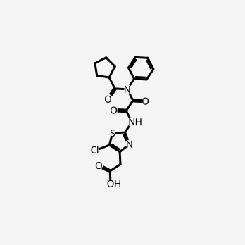 O=C(O)Cc1nc(NC(=O)C(=O)N(C(=O)C2CCCC2)c2ccccc2)sc1Cl